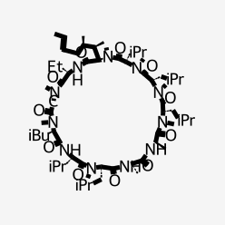 C/C=C/C[C@@H](C)[C@@H](C)[C@H]1C(=O)N[C@@H](CC)C(=O)N(C)CC(=O)N(C)[C@@H](C(C)CC)C(=O)N[C@@H](C(C)C)C(=O)N(C)[C@@H](CC(C)C)C(=O)N[C@@H](C)C(=O)N[C@H](C)C(=O)N(C)[C@@H](CC(C)C)C(=O)N(C)[C@@H](CC(C)C)C(=O)N(C)[C@@H](C(C)C)C(=O)N1C